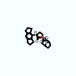 O=C(Nc1c2c(cc3c1CCC3)CCC2)NS(=O)(=O)N1C2CCC1CC(N1CCCC1)C2